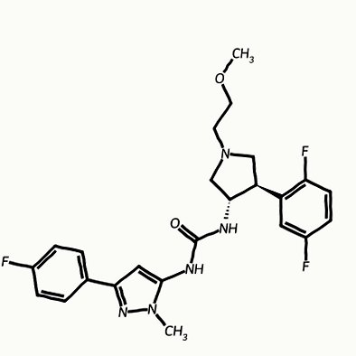 COCCN1C[C@@H](NC(=O)Nc2cc(-c3ccc(F)cc3)nn2C)[C@H](c2cc(F)ccc2F)C1